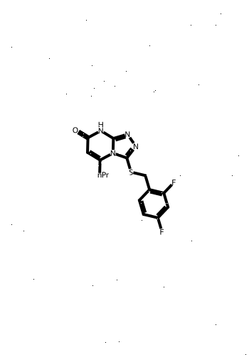 CCCc1cc(=O)[nH]c2nnc(SCc3ccc(F)cc3F)n12